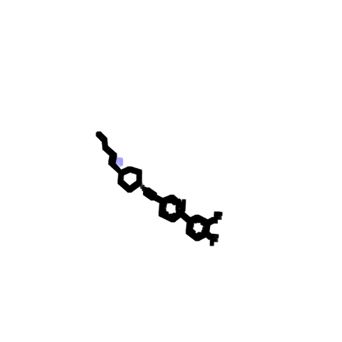 CCC/C=C/[C@H]1CC[C@H](C#Cc2ccc(-c3ccc(F)c(F)c3)nc2)CC1